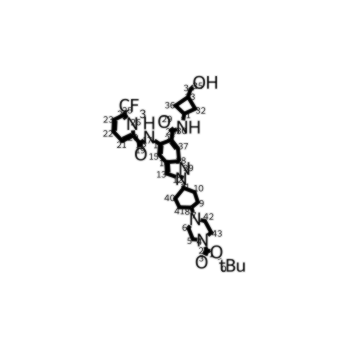 CC(C)(C)OC(=O)N1CCN(C2CCC(n3cc4cc(NC(=O)c5cccc(C(F)(F)F)n5)c(C(=O)NC5CC(CO)C5)cc4n3)CC2)CC1